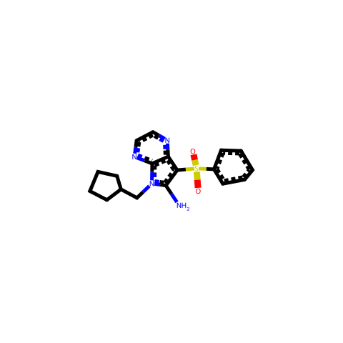 Nc1c(S(=O)(=O)c2ccccc2)c2nccnc2n1CC1CCCC1